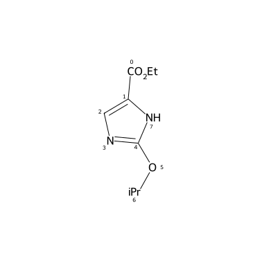 CCOC(=O)c1cnc(OC(C)C)[nH]1